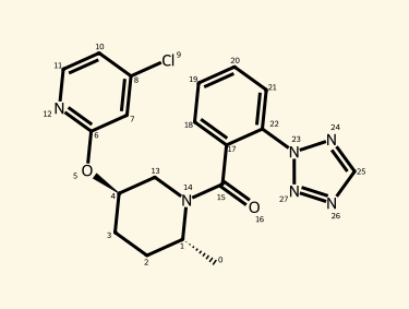 C[C@@H]1CC[C@@H](Oc2cc(Cl)ccn2)CN1C(=O)c1ccccc1-n1ncnn1